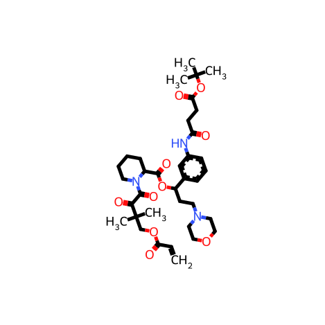 C=CC(=O)OCC(C)(C)C(=O)C(=O)N1CCCCC1C(=O)OC(CCN1CCOCC1)c1cccc(NC(=O)CCC(=O)OC(C)(C)C)c1